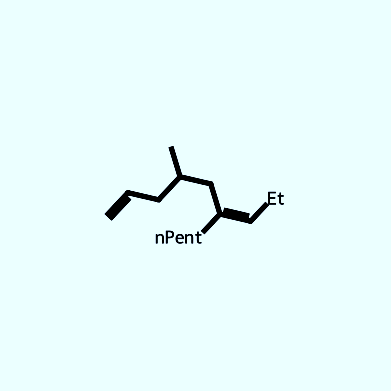 C=CCC(C)CC(=CCC)CCCCC